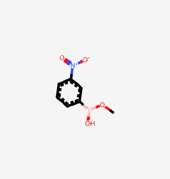 COB(O)c1cccc([N+](=O)[O-])c1